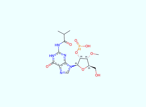 CO[C@H]1[C@@H](O[PH](=O)O)[C@H](n2cnc3c(=O)[nH]c(NC(=O)C(C)C)nc32)O[C@@H]1CO